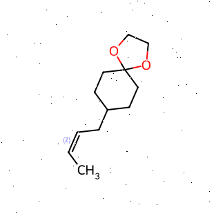 C/C=C\CC1CCC2(CC1)OCCO2